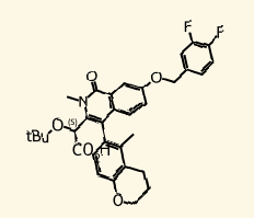 Cc1c(-c2c([C@H](OC(C)(C)C)C(=O)O)n(C)c(=O)c3cc(OCc4ccc(F)c(F)c4)ccc23)ccc2c1CCCO2